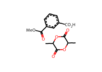 CC1OC(=O)C(C)OC1=O.COC(=O)c1cccc(C(=O)O)c1